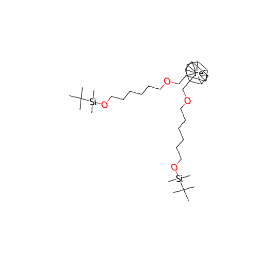 CC(C)(C)[Si](C)(C)OCCCCCCOC[C]12[CH]3[CH]4[CH]5[CH]1[Fe]45321678[CH]2[CH]1[CH]6[C]7(COCCCCCCO[Si](C)(C)C(C)(C)C)[CH]28